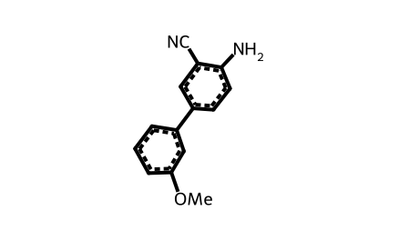 COc1cccc(-c2ccc(N)c(C#N)c2)c1